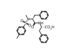 Cc1ccc(S(=O)(=O)N(C)[C@@H](Cc2ccccc2)C(=O)N[C@@H](Cc2ccccc2)C(=O)O)cc1